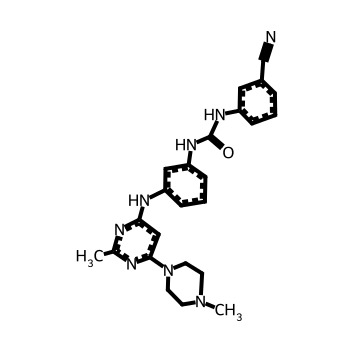 Cc1nc(Nc2cccc(NC(=O)Nc3cccc(C#N)c3)c2)cc(N2CCN(C)CC2)n1